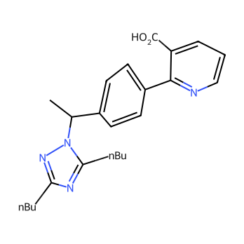 CCCCc1nc(CCCC)n(C(C)c2ccc(-c3ncccc3C(=O)O)cc2)n1